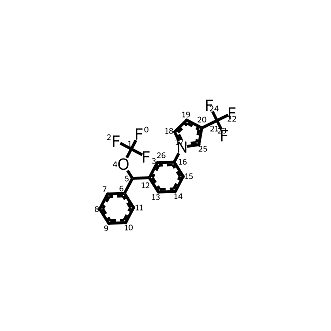 FC(F)(F)OC(c1ccccc1)c1cccc(-n2ccc(C(F)(F)F)c2)c1